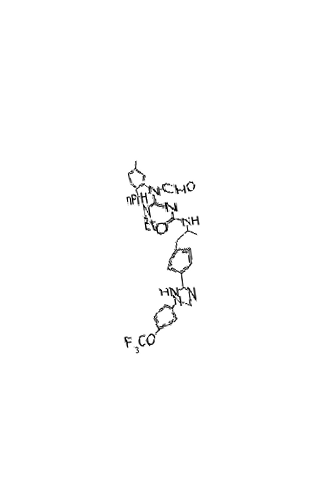 CCCc1ccc(C)cc1N(C=O)/C(=N/C(=O)NC(C)Cc1ccc(C2N=CN(c3ccc(OC(F)(F)F)cc3)N2)cc1)NCC